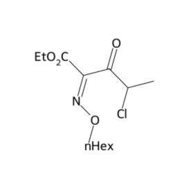 CCCCCCO/N=C(/C(=O)OCC)C(=O)C(C)Cl